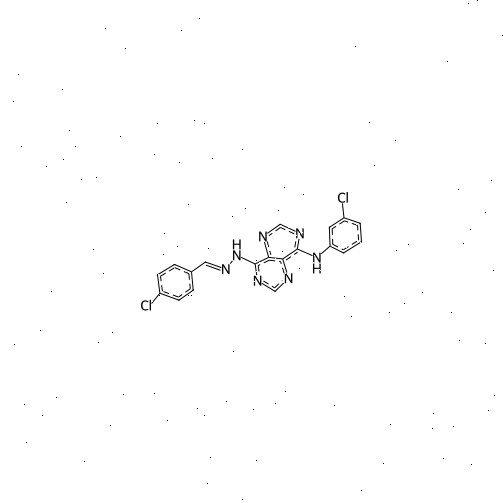 Clc1ccc(C=NNc2ncnc3c(Nc4cccc(Cl)c4)ncnc23)cc1